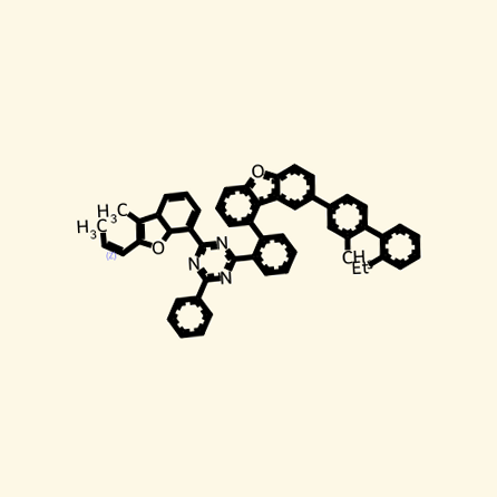 C/C=C\C1=C(C)C2C=CC=C(c3nc(-c4ccccc4)nc(-c4ccccc4-c4cccc5oc6ccc(-c7ccc(-c8ccccc8CC)c(C)c7)cc6c45)n3)C2O1